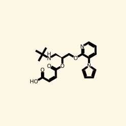 CC(C)(C)NC[C@@H](COc1ncccc1-n1cccc1)OC(=O)/C=C\C(=O)O